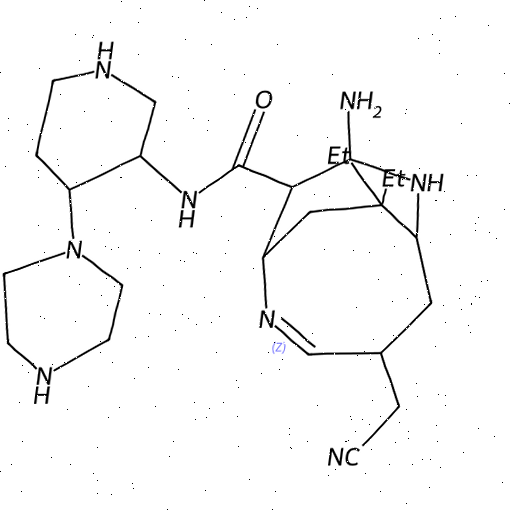 CCC1(CC)CC2/N=C\C(CC#N)CC1NC(N)C2C(=O)NC1CNCCC1N1CCNCC1